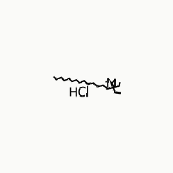 C=CC(CC)(CCCCCCCCCCCCCC)N(C)C.Cl